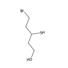 OCCC(S)CCBr